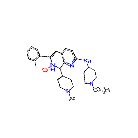 CC(=O)N1CCC(C2c3nc(NC4CCN(C(=O)O)CC4)ccc3C=C(c3ccccc3C)[NH+]2[O-])CC1